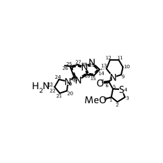 COC1CCSC1C(=O)N1CCCC[C@H]1c1cc2nc(N3CC[C@H](N)C3)c(C)cn2n1